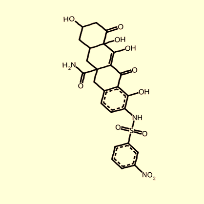 NC(=O)C12Cc3ccc(NS(=O)(=O)c4cccc([N+](=O)[O-])c4)c(O)c3C(=O)C1=C(O)C1(O)C(=O)CC(O)CC1C2